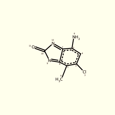 Cc1c(Cl)cc(N)c2c1=NC(=O)N=2